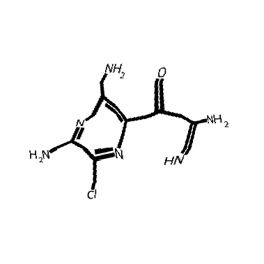 N=C(N)C(=O)c1nc(Cl)c(N)nc1N